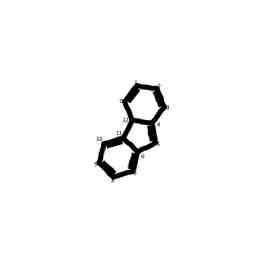 [C]1=CC=CC2=Cc3ccccc3C12